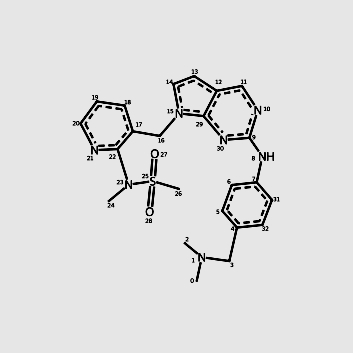 CN(C)Cc1ccc(Nc2ncc3ccn(Cc4cccnc4N(C)S(C)(=O)=O)c3n2)cc1